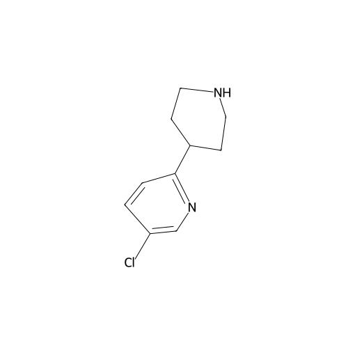 Clc1ccc(C2CCNCC2)nc1